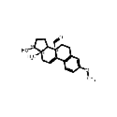 COc1ccc2c(c1)CC[C@]1(C=O)C2=CC[C@@]2(C)C1CC[C@@H]2O